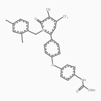 COC(=O)Nc1ccc(Oc2ccc(-c3cc(C(F)(F)F)c(C#N)c(=O)n3Cc3ccc(C)cc3C)cc2)cc1